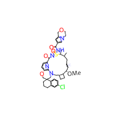 COC1/C=C/CC(C)C(C)S(=O)(NC(=O)c2cc3n(c2)CCOC3)=NC(=O)c2ccc3c(n2)N(CC2CCC21)CC1(CCCc2cc(Cl)ccc21)CO3